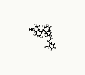 C[C@@H]1CCCN1CCc1cc2cccc(-c3cccc4[nH]ccc34)c2o1